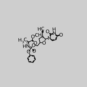 C#CC1CC(COP(=O)(N[C@@H](C)C(=O)OC)Oc2ccccc2)OC1n1ccc(=O)[nH]c1=O